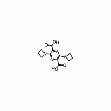 O=C(O)c1nc(N2CCC2)c(C(=O)O)nc1N1CCC1